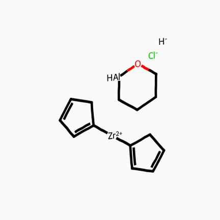 C1=CC[C]([Zr+2][C]2=CC=CC2)=C1.C1C[CH2][AlH][O]C1.[Cl-].[H-]